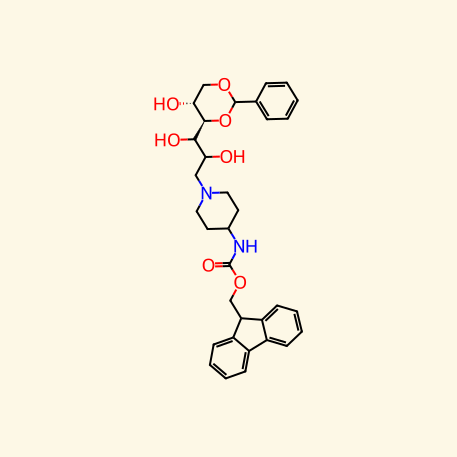 O=C(NC1CCN(CC(O)C(O)[C@@H]2OC(c3ccccc3)OC[C@H]2O)CC1)OCC1c2ccccc2-c2ccccc21